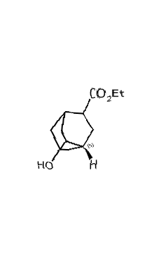 CCOC(=O)C1C[C@@H]2CCC1CC2O